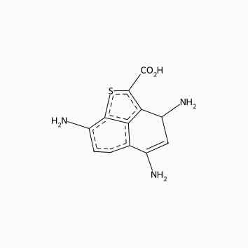 NC1=CC(N)c2c(C(=O)O)sc3c(N)ccc1c23